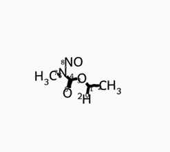 [2H]C(C)OC(=O)N(C)N=O